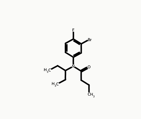 CCCC(=O)N(c1ccc(F)c(Br)c1)C(CC)CC